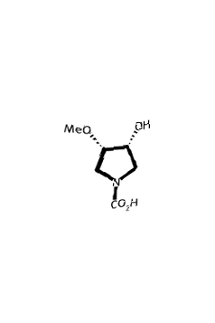 CO[C@H]1CN(C(=O)O)C[C@H]1O